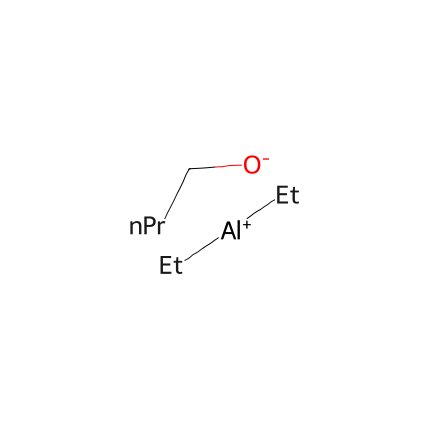 CCCC[O-].C[CH2][Al+][CH2]C